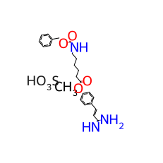 CS(=O)(=O)O.N=C(N)C=Cc1ccc(OC(=O)CCCCCNC(=O)OCc2ccccc2)cc1